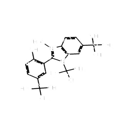 Cc1ccc(C(C)(C)C)cc1-c1n(C(C)(C)C)c2cc(C(C)(C)C)ccc2[n+]1C